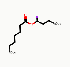 CCCCCCCCCCCCCCCC(=O)OC(I)CCCCCCCCCCCC